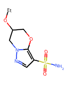 CCOC1COc2c(S(N)(=O)=O)cnn2C1